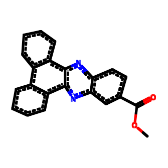 COC(=O)c1ccc2nc3c4ccccc4c4ccccc4c3nc2c1